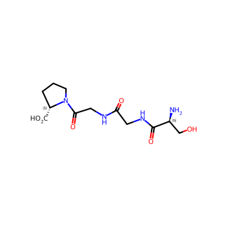 N[C@@H](CO)C(=O)NCC(=O)NCC(=O)N1CCC[C@H]1C(=O)O